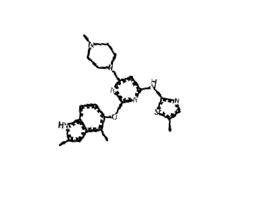 Cc1cc2c(C)c(Oc3nc(Nc4ncc(C)s4)cc(N4CCN(C)CC4)n3)ccc2[nH]1